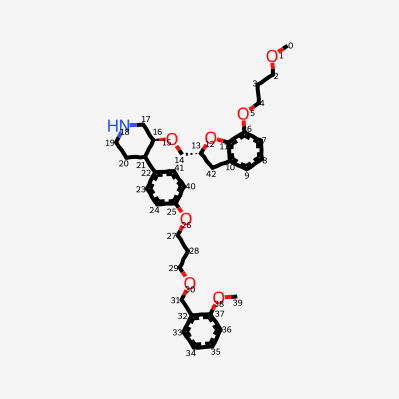 COCCCOc1cccc2c1O[C@@H](CO[C@@H]1CNCCC1c1ccc(OCCCOCc3ccccc3OC)cc1)C2